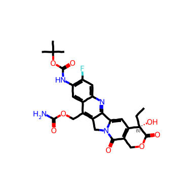 CC[C@@]1(O)C(=O)OCc2c1cc1n(c2=O)Cc2c-1nc1cc(F)c(NC(=O)OC(C)(C)C)cc1c2COC(N)=O